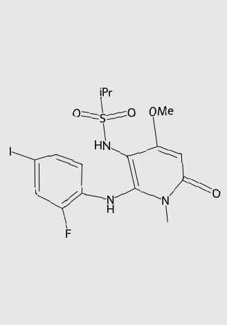 COc1cc(=O)n(C)c(Nc2ccc(I)cc2F)c1NS(=O)(=O)C(C)C